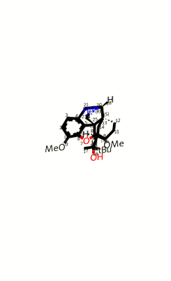 COc1ccc2c3c1O[C@H]1[C@]4(OC)CC[C@@]5(C[C@@H]4C(C)(O)C(C)(C)C)[C@@H](C2)NCC[C@]315